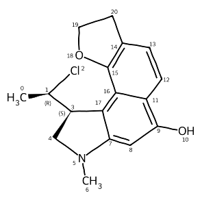 C[C@@H](Cl)[C@@H]1CN(C)c2cc(O)c3ccc4c(c3c21)OCC4